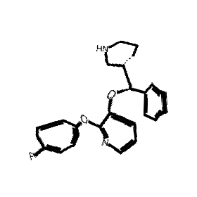 Fc1ccc(Oc2ncccc2O[C@H](c2ccccc2)[C@H]2CCCNC2)cc1